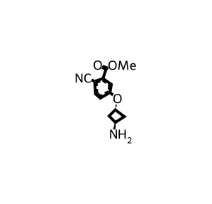 COC(=O)c1cc(O[C@H]2C[C@H](N)C2)ccc1C#N